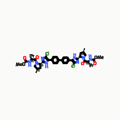 COC(=O)N[C@H](C(=O)N1C[C@@H](C)C[C@H]1c1nc(Cl)c(-c2ccc(-c3ccc(-c4[nH]c([C@@H]5C[C@H](C)CN5C(=O)[C@@H](NC(=O)OC)C(C)C)nc4Cl)cc3)cc2)[nH]1)C(C)C